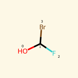 OC(F)Br